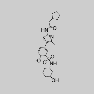 COc1ccc(-c2sc(NC(=O)CC3CCCC3)nc2C)cc1S(=O)(=O)N[C@H]1CCC[C@H](O)C1